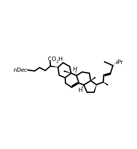 CCCCCCCCCCCCCC(C(=O)O)[C@H]1CC[C@@]2(C)C(CC=C3[C@@H]4CC[C@H]([C@H](C)C=C[C@H](C)C(C)C)[C@@]4(C)CC[C@@H]32)C1